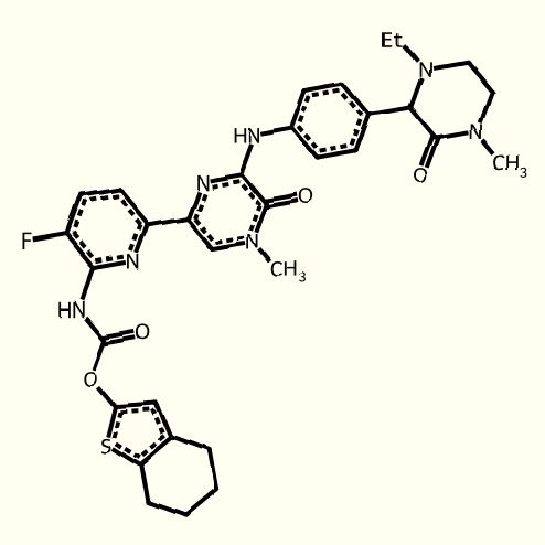 CCN1CCN(C)C(=O)C1c1ccc(Nc2nc(-c3ccc(F)c(NC(=O)Oc4cc5c(s4)CCCC5)n3)cn(C)c2=O)cc1